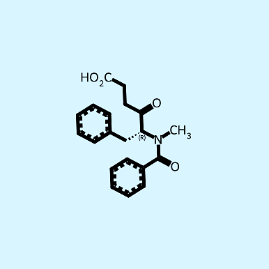 CN(C(=O)c1ccccc1)[C@H](Cc1ccccc1)C(=O)CCC(=O)O